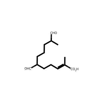 CC(=CCCC(C=O)CCCC(C)C=O)C(=O)O